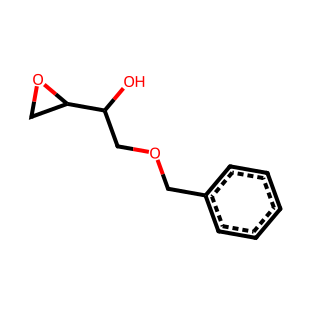 OC(COCc1ccccc1)C1CO1